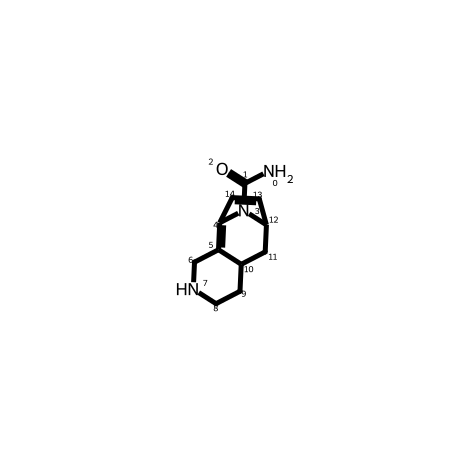 NC(=O)N1C2=C3CNCCC3CC1C=C2